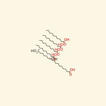 CCCCCCCCCC(=O)O.CCCCCCCCCC(=O)O.CCCCCCCCCC(=O)O.CCCCCCCCCC(=O)O.CCCCCCCCCC(=O)O.CCCCCCCCCCCCCCCC(=O)O